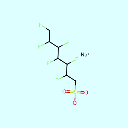 O=S(=O)([O-])CC(F)C(F)C(F)C(F)C(F)CF.[Na+]